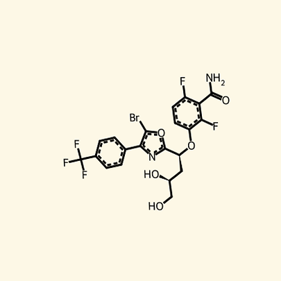 NC(=O)c1c(F)ccc(O[C@@H](C[C@H](O)CO)c2nc(-c3ccc(C(F)(F)F)cc3)c(Br)o2)c1F